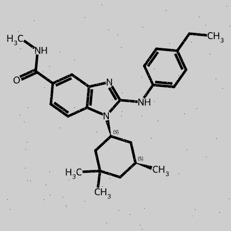 CCc1ccc(Nc2nc3cc(C(=O)NC)ccc3n2[C@H]2C[C@@H](C)CC(C)(C)C2)cc1